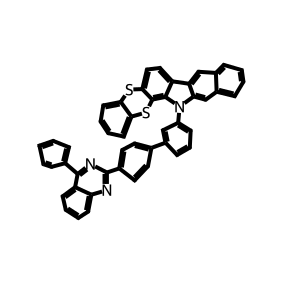 c1ccc(-c2nc(-c3ccc(-c4cccc(-n5c6cc7ccccc7cc6c6ccc7c(c65)Sc5ccccc5S7)c4)cc3)nc3ccccc23)cc1